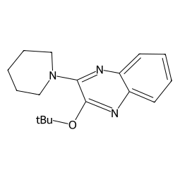 CC(C)(C)Oc1nc2ccccc2nc1N1CCCCC1